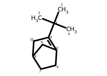 CC(C)(C)C1=C2CCC(C2)C1